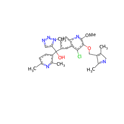 COc1nc2ccc(C(O)(c3ccc(C)nc3C)c3cnnn3C)cc2c(Cl)c1OCC1=C(C)CN=C1C